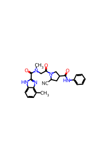 Cc1cccc2[nH]c(C(=O)N(C)CC(=O)N3CC(C(=O)Nc4ccccc4)CC3C#N)nc12